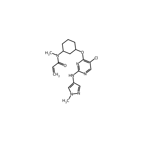 C=CC(=O)N(C)C1CCCC(Oc2nc(Nc3cnn(C)c3)ncc2Cl)C1